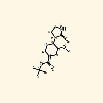 COC1CN(C(=O)OC(C)(C)C)CCC1N1CCNC1=O